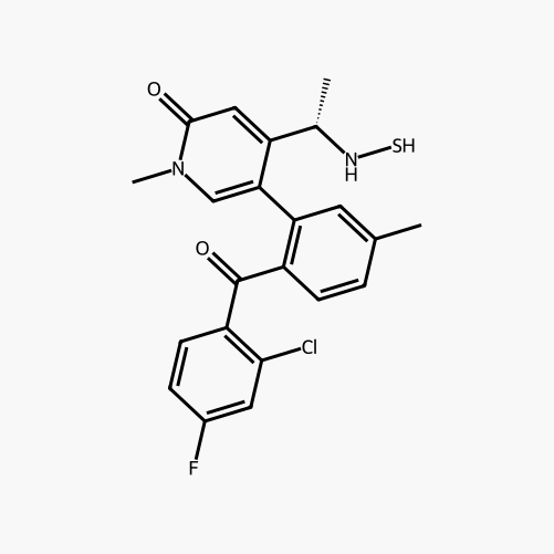 Cc1ccc(C(=O)c2ccc(F)cc2Cl)c(-c2cn(C)c(=O)cc2[C@H](C)NS)c1